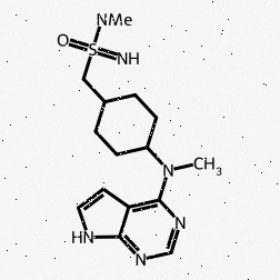 CNS(=N)(=O)CC1CCC(N(C)c2ncnc3[nH]ccc23)CC1